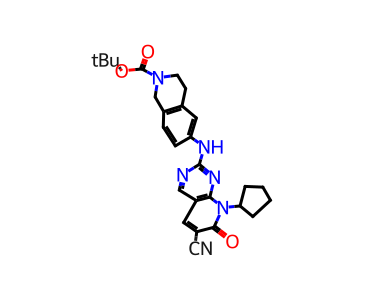 CC(C)(C)OC(=O)N1CCc2cc(Nc3ncc4cc(C#N)c(=O)n(C5CCCC5)c4n3)ccc2C1